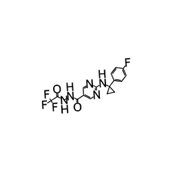 O=C(NNC(=O)C(F)(F)F)c1cnc(NC2(c3ccc(F)cc3)CC2)nc1